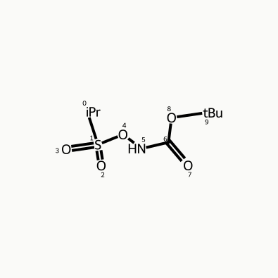 CC(C)S(=O)(=O)ONC(=O)OC(C)(C)C